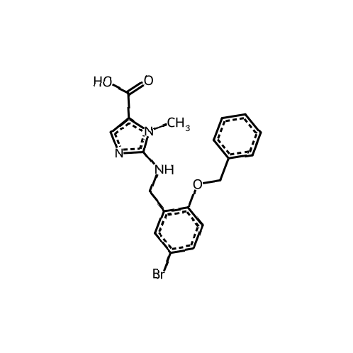 Cn1c(C(=O)O)cnc1NCc1cc(Br)ccc1OCc1ccccc1